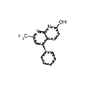 Cc1cc(-c2ccccc2)c2ccc(O)nc2n1